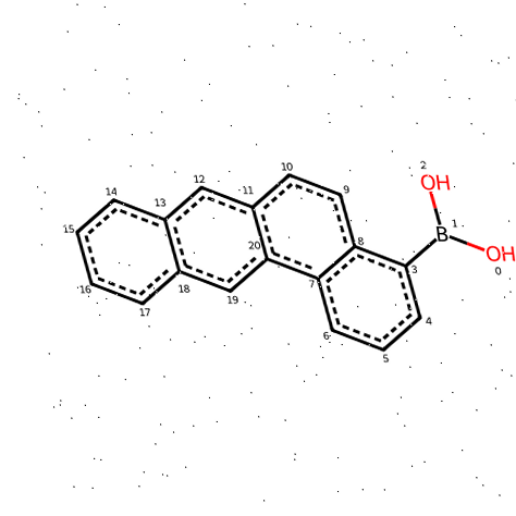 OB(O)c1cccc2c1ccc1cc3ccccc3cc12